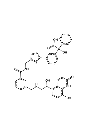 O=C(NCc1ccc(-c2cccc(C(O)(C(=O)O)c3ccccc3)c2)s1)c1cccc(CNCC(O)c2ccc(O)c3[nH]c(=O)ccc23)c1